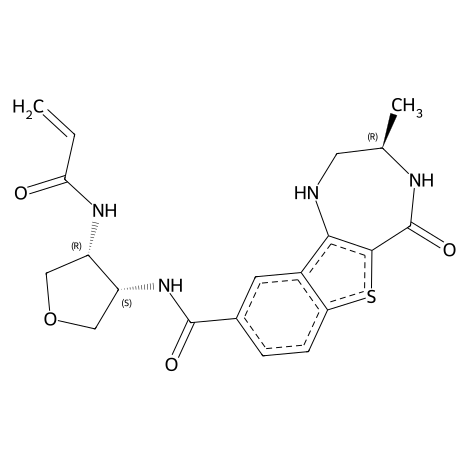 C=CC(=O)N[C@H]1COC[C@H]1NC(=O)c1ccc2sc3c(c2c1)NC[C@@H](C)NC3=O